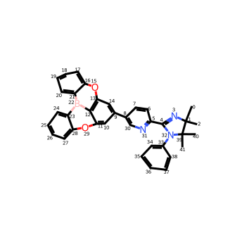 CC1(C)N=C(c2ccc(-c3cc4c5c(c3)Oc3ccccc3B5c3ccccc3O4)cn2)N(c2ccccc2)C1(C)C